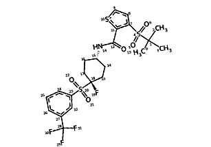 CC(C)(C)S(=O)(=O)c1ccsc1C(=O)N[C@H]1CC[C@@](F)(S(=O)(=O)c2cccc(C(F)(F)F)c2)CC1